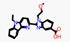 CCn1c2ccccc2c2nc(-c3nc4cc(C(=O)O)ccc4n3CCOC)ccc21